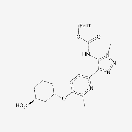 CCCC(C)OC(=O)Nc1c(-c2ccc(O[C@H]3CCC[C@H](C(=O)O)C3)c(C)n2)nnn1C